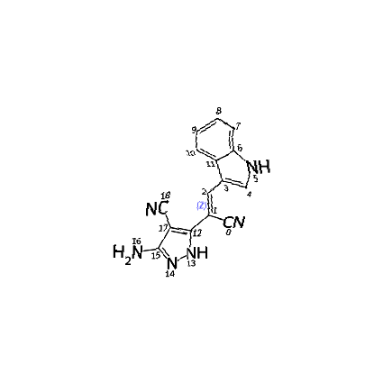 N#C/C(=C\c1c[nH]c2ccccc12)c1[nH]nc(N)c1C#N